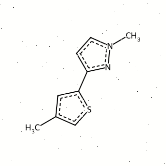 Cc1csc(-c2ccn(C)n2)c1